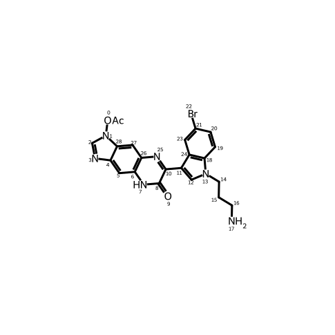 CC(=O)On1cnc2cc3[nH]c(=O)c(-c4cn(CCCN)c5ccc(Br)cc45)nc3cc21